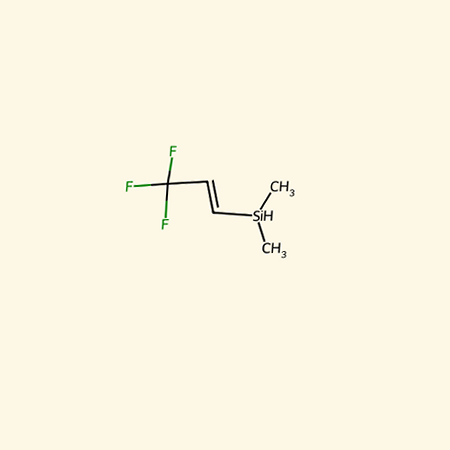 C[SiH](C)C=CC(F)(F)F